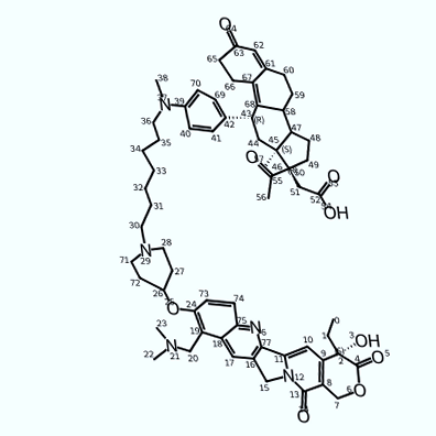 CC[C@@]1(O)C(=O)OCc2c1cc1n(c2=O)Cc2cc3c(CN(C)C)c(OC4CCN(CCCCCCCN(C)c5ccc([C@H]6C[C@@]7(C)C(CC[C@]7(CC(=O)O)C(C)=O)C7CCC8=CC(=O)CCC8=C76)cc5)CC4)ccc3nc2-1